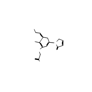 C=C(C)COC1=C(O)/C(=C\CC)CC(N2CC=CC2=O)=C1